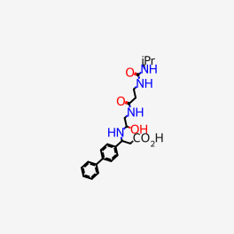 CC(C)NC(=O)NCCC(=O)NCC(O)NC(CC(=O)O)c1ccc(-c2ccccc2)cc1